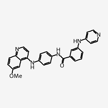 COc1ccc2nccc(Nc3ccc(NC(=O)c4cccc(Nc5ccncc5)c4)cc3)c2c1